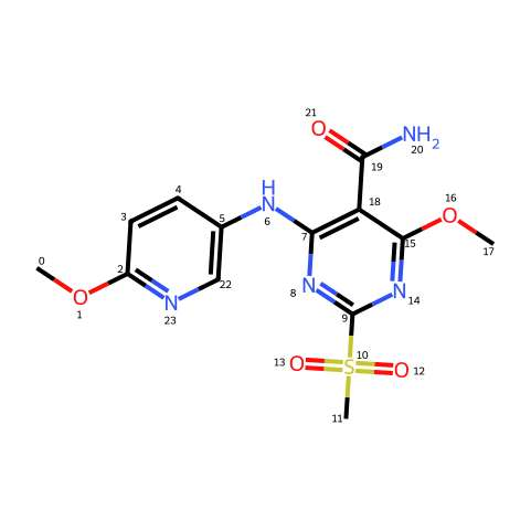 COc1ccc(Nc2nc(S(C)(=O)=O)nc(OC)c2C(N)=O)cn1